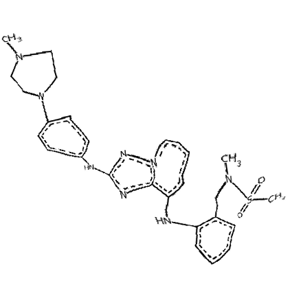 CN1CCN(c2ccc(Nc3nc4c(Nc5ccccc5CN(C)S(C)(=O)=O)cccn4n3)cc2)CC1